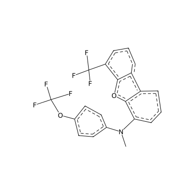 CN(c1ccc(OC(F)(F)F)cc1)c1cccc2c1oc1c(C(F)(F)F)cccc12